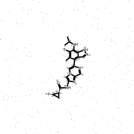 Cc1c(F)c(NC(C)C)c2[nH]ncc2c1-c1cn2cc(NC(=O)[C@H]3C[C@@H]3F)nc2cn1